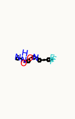 CN1CCCC1CCNC(=O)c1cccc(OC2CCN(Cc3cccc(C#Cc4ccc(C(F)(F)F)cc4)c3)CC2)c1